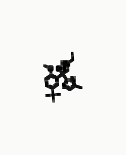 CCNCC(O)(c1nc(C)cs1)c1cc(C(C)(C)C)ccc1OC